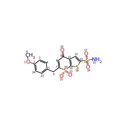 COc1ccc(CC2=CC(=O)c3cc(S(N)(=O)=O)sc3S2(=O)=O)cc1